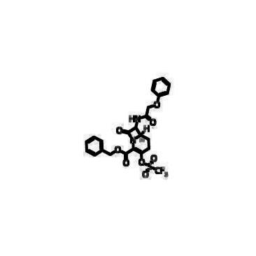 O=C(COc1ccccc1)NC1C(=O)N2C(C(=O)OCc3ccccc3)=C(OS(=O)(=O)C(F)(F)F)CC[C@@H]12